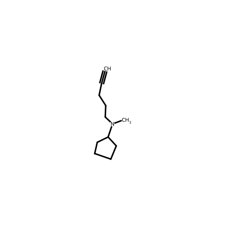 C#CCCCN(C)C1CCCC1